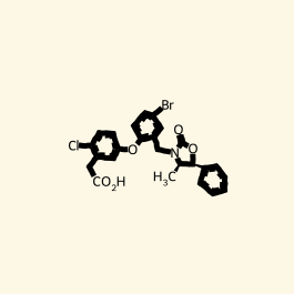 C[C@@H]1[C@H](c2ccccc2)OC(=O)N1Cc1cc(Br)ccc1Oc1ccc(Cl)c(CC(=O)O)c1